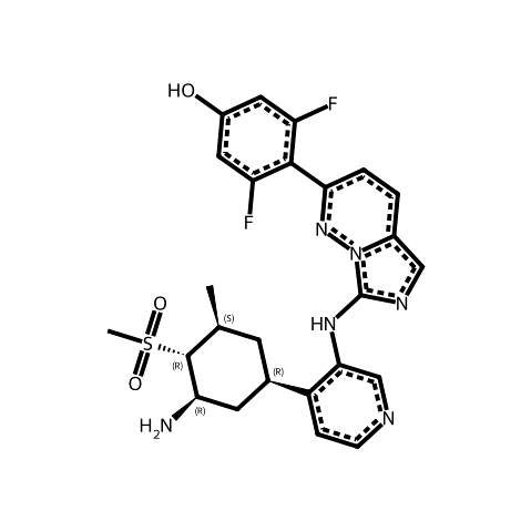 C[C@H]1C[C@@H](c2ccncc2Nc2ncc3ccc(-c4c(F)cc(O)cc4F)nn23)C[C@@H](N)[C@@H]1S(C)(=O)=O